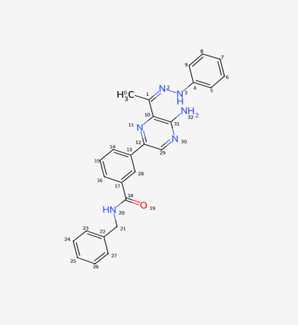 CC(=NNc1ccccc1)c1nc(-c2cccc(C(=O)NCc3ccccc3)c2)cnc1N